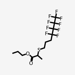 CCCOC(=O)C(C)SCCCC(F)(F)C(F)(F)C(F)(F)C(F)(F)F